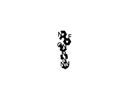 Cc1ncccc1-c1cc(N2CC(N3CCN(c4ncccn4)CC3)CC2=O)ccc1F